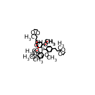 COCOc1c(P(c2c(OC)cc(CCC3(C)OCCO3)cc2OC)c2c(OC)cc(CCC3(C)OCCO3)cc2OC)cccc1[Si](C)(C)C